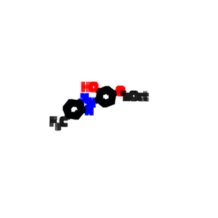 CCCCCCCCOc1ccc(-n2nc3ccc(C(F)(F)F)cc3n2)c(O)c1